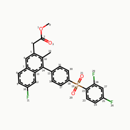 COC(=O)Cc1cc2ccc(F)cc2c(-c2ccc(S(=O)(=O)c3ccc(F)cc3F)cc2)c1C